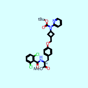 COC(=O)[C@H](Cc1ccc(OCC2CC(N(C(=O)OC(C)(C)C)c3ccccn3)C2)cc1)NC(=O)c1c(Cl)cccc1Cl